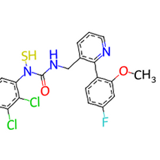 COc1cc(F)ccc1-c1ncccc1CNC(=O)N(S)c1cccc(Cl)c1Cl